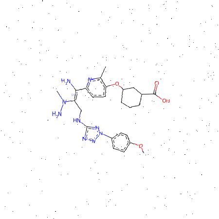 COc1ccc(-n2nnc(NC/C(=C(/N)c3ccc(OC4CCCC(C(=O)O)C4)c(C)n3)N(C)N)n2)cc1